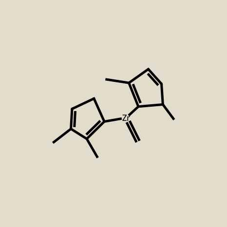 [CH2]=[Zr]([C]1=C(C)C(C)=CC1)[C]1=C(C)C=CC1C